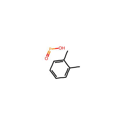 Cc1ccccc1C.O=PO